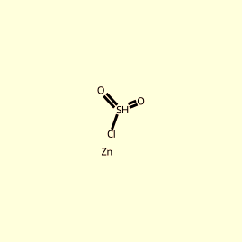 O=[SH](=O)Cl.[Zn]